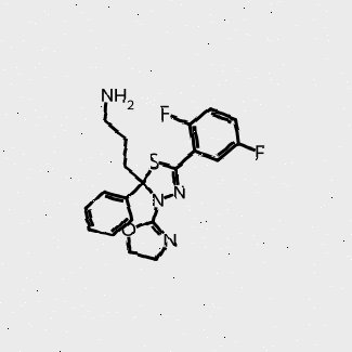 NCCCC1(c2ccccc2)SC(c2cc(F)ccc2F)=NN1C1=NCCO1